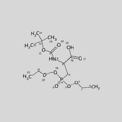 CCOOP(=O)(CC(NC(=O)OC(C)(C)C)C(=O)O)OOCC